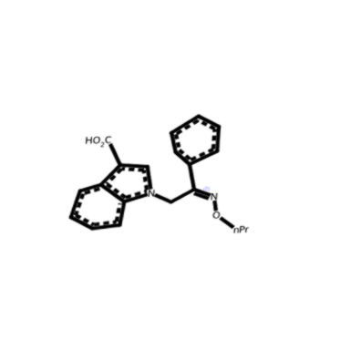 CCCO/N=C(\Cn1cc(C(=O)O)c2ccccc21)c1ccccc1